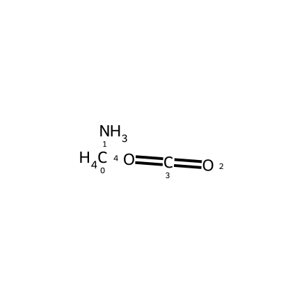 C.N.O=C=O